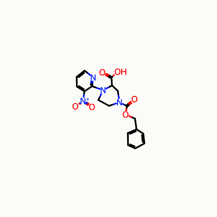 O=C(O)C1CN(C(=O)OCc2ccccc2)CCN1c1ncccc1[N+](=O)[O-]